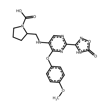 COc1ccc(Oc2nc(-c3noc(=O)[nH]3)ncc2NCC2CCCN2C(=O)O)cc1